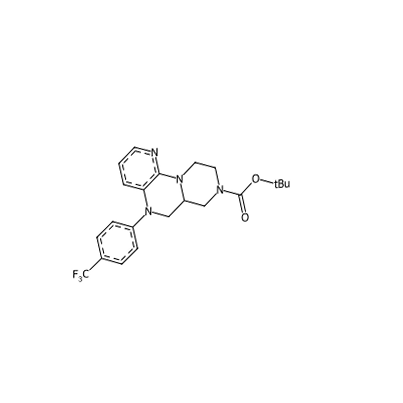 CC(C)(C)OC(=O)N1CCN2c3ncccc3N(c3ccc(C(F)(F)F)cc3)CC2C1